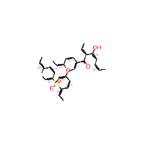 C\C=C/C=C(O)\C(=C/C)C(=O)C(/C=C\C(=C/C)OC(/C=C\C(=C/C)S(=O)(=O)C(/C=C\C(C)=C/C)=C/C)=C/C)=C/C